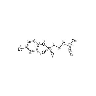 CCc1ccc(OS(=O)(=O)CCO[SH](=O)=O)cc1